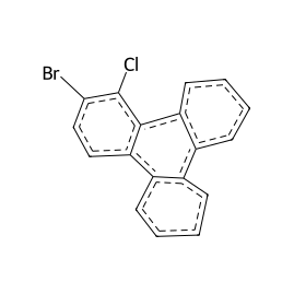 Clc1c(Br)ccc2c3ccccc3c3ccccc3c12